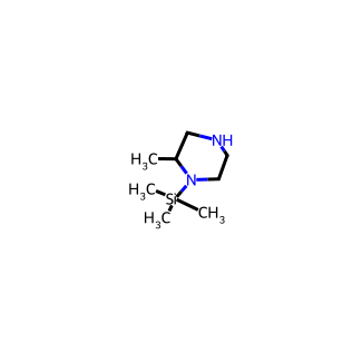 CC1CNCCN1[Si](C)(C)C